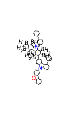 Bc1c(B)c(B)c2c(c1B)c1c(B)c(-c3ccc4c(c3)c3c(-c5ccccc5)cccc3n4-c3ccc4oc5ccccc5c4c3)c(B)c(B)c1n2-c1cccc(-c2ccccc2)c1